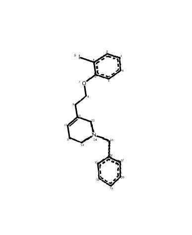 Ic1ccccc1OCCC1=CCCN(Cc2ccccc2)C1